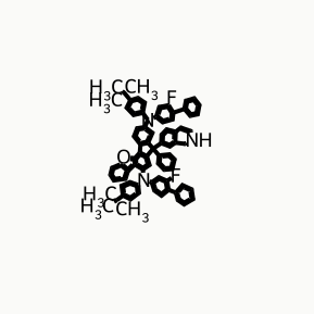 CC(C)(C)c1ccc(N(c2ccc(-c3ccccc3)c(F)c2)c2ccc3c(c2)C(c2ccccc2)(c2ccc4c(c2)CNC=C4)c2cc(N(c4ccc(C(C)(C)C)cc4)c4ccc(-c5ccccc5)c(F)c4)c4c(oc5ccccc54)c2-3)cc1